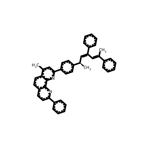 C/C(=C\C(=C/[C@@H](C)c1ccc(-c2cc(C)c3ccc4ccc(-c5ccccc5)nc4c3n2)cc1)c1ccccc1)c1ccccc1